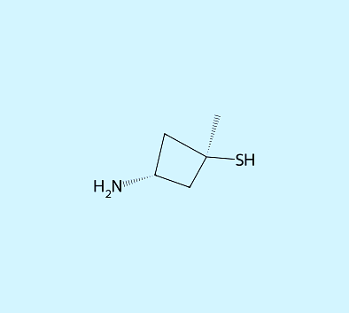 C[C@]1(S)C[C@H](N)C1